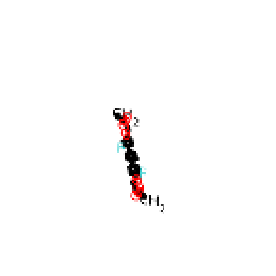 C=CC(=O)O/C=C\Oc1ccc(-c2ccc(-c3ccc(O/C=C\OC(=O)C=C)c(F)c3)cc2)c(F)c1